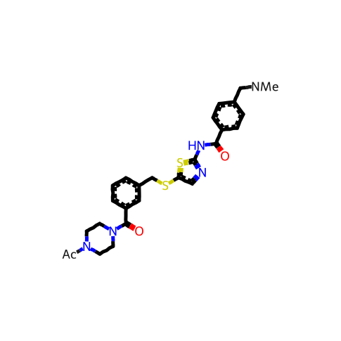 CNCc1ccc(C(=O)Nc2ncc(SCc3cccc(C(=O)N4CCN(C(C)=O)CC4)c3)s2)cc1